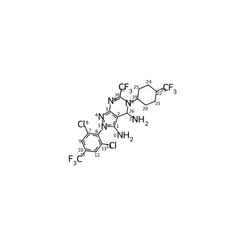 Nc1c2c(nn1-c1c(Cl)cc(C(F)(F)F)cc1Cl)N=C(C(F)(F)F)N(C1CCC(C(F)(F)F)CC1)C2N